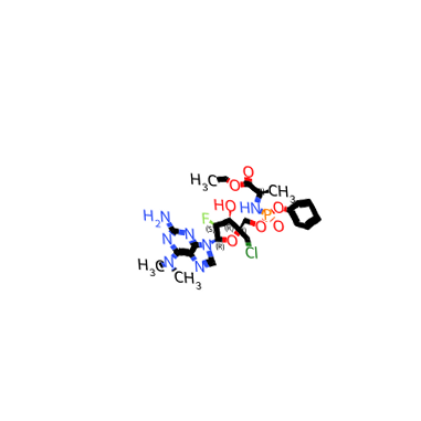 CCOC(=O)[C@@H](C)NP(=O)(OC[C@@]1(CCl)O[C@@H](n2cnc3c(N(C)C)nc(N)nc32)[C@@H](F)[C@@H]1O)Oc1ccccc1